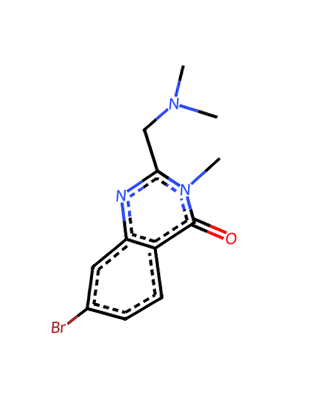 CN(C)Cc1nc2cc(Br)ccc2c(=O)n1C